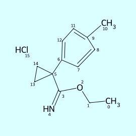 CCOC(=N)C1(c2ccc(C)cc2)CC1.Cl